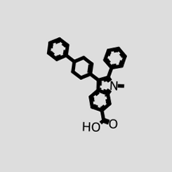 Cn1c(-c2ccccc2)c(C2=CCC(c3ccccc3)CC2)c2ccc(C(=O)O)cc21